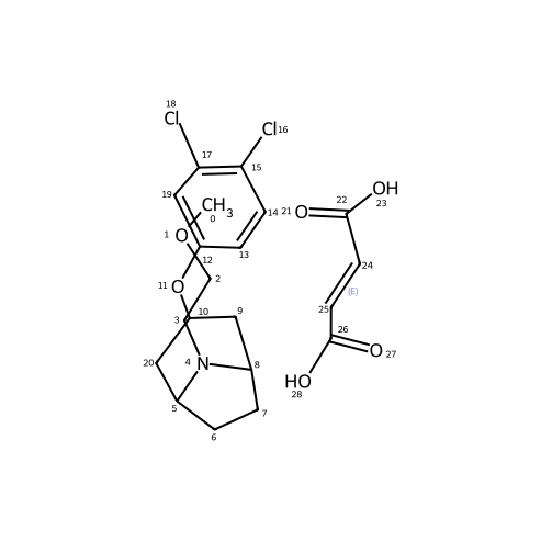 COCCN1C2CCC1CC(Oc1ccc(Cl)c(Cl)c1)C2.O=C(O)/C=C/C(=O)O